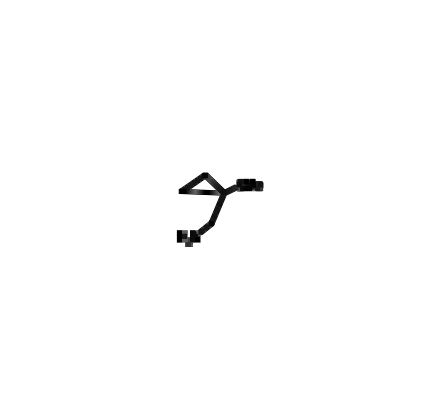 CSC1(CN)CC1